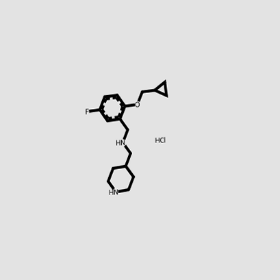 Cl.Fc1ccc(OCC2CC2)c(CNCC2CCNCC2)c1